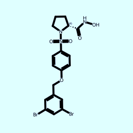 O=C(NO)[C@H]1CCCN1S(=O)(=O)c1ccc(OCc2cc(Br)cc(Br)c2)cc1